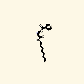 CCCCCCCCNC(=O)/C=C\SC(=O)c1ccoc1